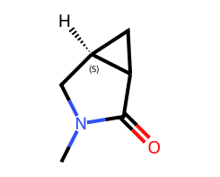 CN1C[C@H]2CC2C1=O